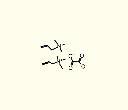 C=CC[N+](C)(C)C.C=CC[N+](C)(C)C.O=C([O-])C(=O)[O-]